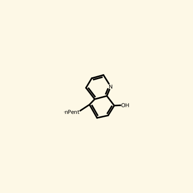 CCCC[CH]c1ccc(O)c2ncccc12